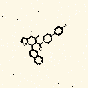 CC1=C(C(=O)N2CCN(c3ccc(F)cc3)CC2)C(c2ccc3ccccc3c2)n2nccc2N1